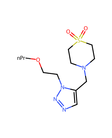 CCCOCCn1nncc1CN1CCS(=O)(=O)CC1